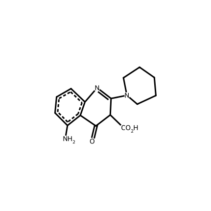 Nc1cccc2c1C(=O)C(C(=O)O)C(N1CCCCC1)=N2